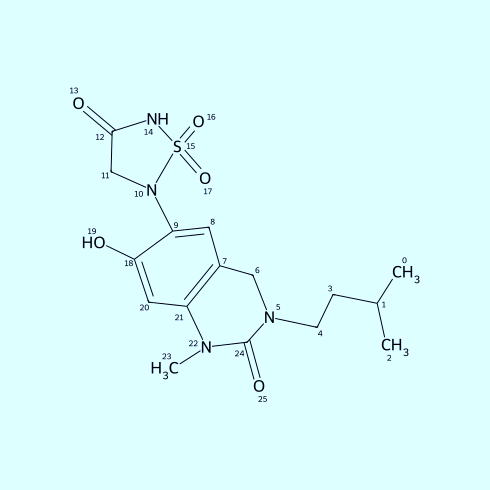 CC(C)CCN1Cc2cc(N3CC(=O)NS3(=O)=O)c(O)cc2N(C)C1=O